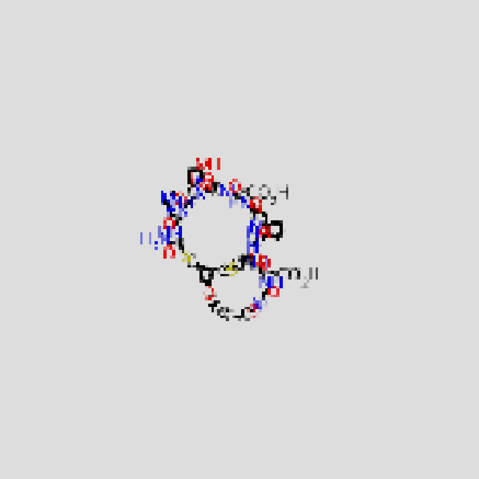 C[C@@H](O)[C@@H]1NC(=O)[C@H](CC(=O)O)NC(=O)[C@@H]2CCCN2C(=O)[C@H](Cc2ccccc2)NC(=O)[C@@H]2CSCc3cc(cc(c3)OCCCCCCO/N=C/C(=O)N[C@@H](CCC(=O)O)C(=O)N2)CSC[C@@H](C(N)=O)NC(=O)C(Cc2cnc[nH]2)NC(=O)[C@H](Cc2ccc(O)cc2)NC1=O